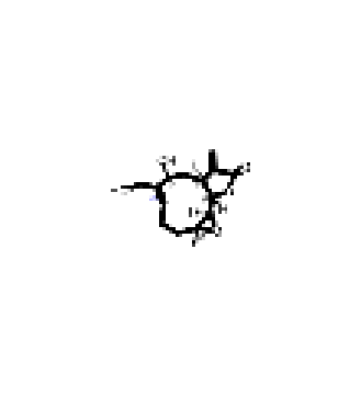 C=C1C(=O)O[C@@H]2[C@H]3O[C@]3(C)CC/C=C(\CO)[C@@H](O)C[C@@H]12